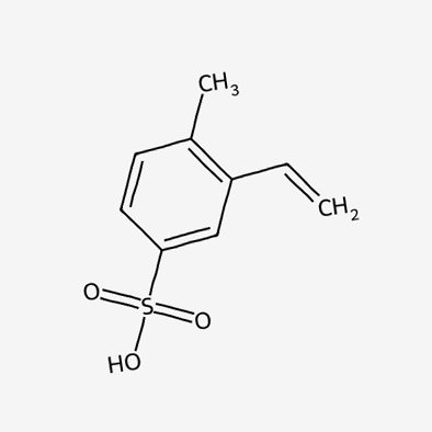 C=Cc1cc(S(=O)(=O)O)ccc1C